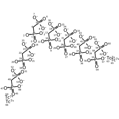 O=P([O-])([O-])CP(=O)([O-])[O-].O=P([O-])([O-])CP(=O)([O-])[O-].O=P([O-])([O-])CP(=O)([O-])[O-].O=P([O-])([O-])CP(=O)([O-])[O-].O=P([O-])([O-])CP(=O)([O-])[O-].O=P([O-])([O-])CP(=O)([O-])[O-].O=P([O-])([O-])CP(=O)([O-])[O-].[Tc+7].[Tc+7].[Tc+7].[Tc+7]